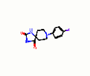 O=C1NC(=O)C2(CCN(c3ccc(I)cc3)CC2)N1